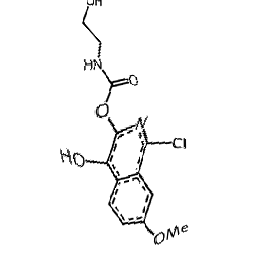 COc1ccc2c(O)c(OC(=O)NCCO)nc(Cl)c2c1